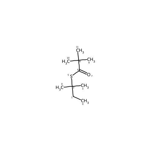 CCC(C)(C)SC(=O)C(C)(C)C